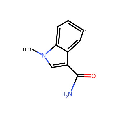 CCCn1cc(C(N)=O)c2c[c]ccc21